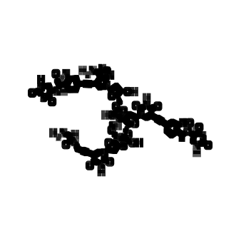 CC(NC1CNC(=O)SC1=O)c1ccc(C#Cc2cn([C@H]3C[C@H](O)[C@@H](COP(=O)(O)O[C@H]4C[C@H](n5cc(C#Cc6ccc(C(C)OC7CNC(=O)SC7=O)c([N+](=O)[O-])c6)c(=O)[nH]c5=O)O[C@@H]4COP(=O)(O)O[C@H]4C[C@H](n5cc(C#CCNC(=O)CN)c(=O)[nH]c5=O)O[C@@H]4COS)O3)c3ncnc(N)c23)cc1[N+](=O)[O-]